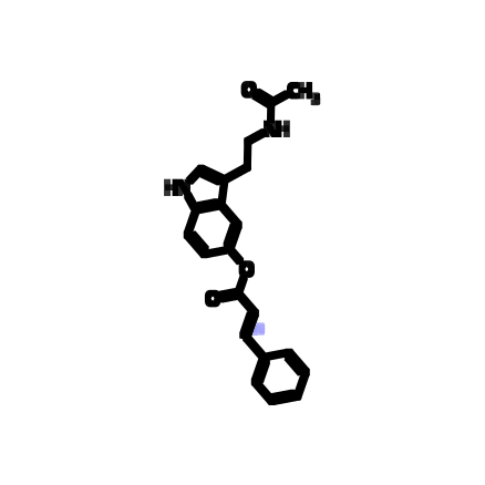 CC(=O)NCCc1c[nH]c2ccc(OC(=O)/C=C/c3ccccc3)cc12